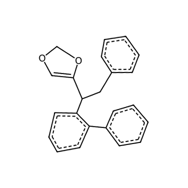 C1=C(C(Cc2ccccc2)c2ccccc2-c2ccccc2)OCO1